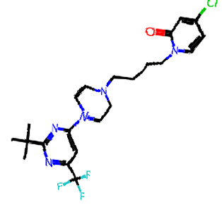 CC(C)(C)c1nc(N2CCN(CCCCn3ccc(Cl)cc3=O)CC2)cc(C(F)(F)F)n1